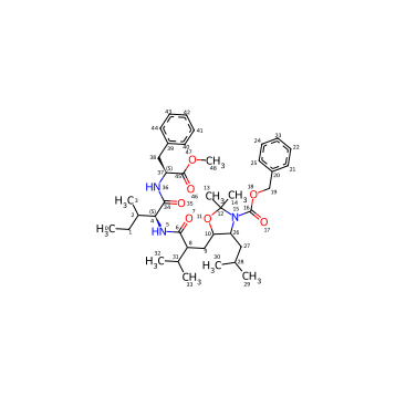 CCC(C)[C@H](NC(=O)C(CC1OC(C)(C)N(C(=O)OCc2ccccc2)C1CC(C)C)C(C)C)C(=O)N[C@@H](Cc1ccccc1)C(=O)OC